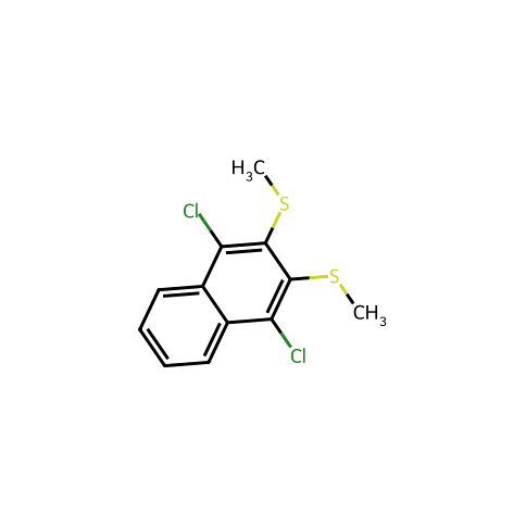 CSc1c(SC)c(Cl)c2ccccc2c1Cl